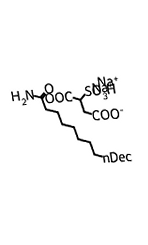 CCCCCCCCCCCCCCCCCC(N)=O.O=C([O-])CC(C(=O)[O-])S(=O)(=O)O.[Na+].[Na+]